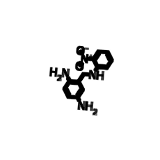 Nc1ccc(N)c(CNc2ccccc2[N+](=O)[O-])c1